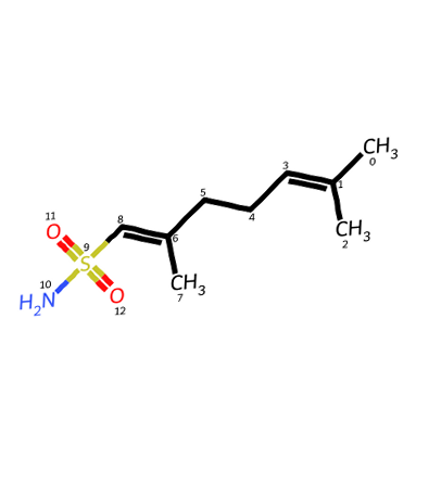 CC(C)=CCC/C(C)=C/S(N)(=O)=O